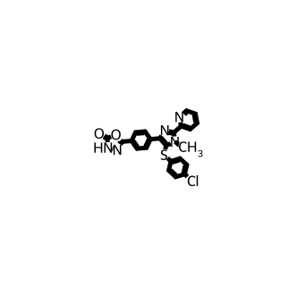 Cn1c(-c2ccccn2)nc(-c2ccc(-c3n[nH]c(=O)o3)cc2)c1Sc1ccc(Cl)cc1